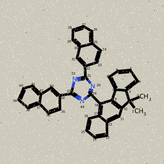 CC1(C)c2ccccc2-c2c1cc1ccccc1c2-c1nc(-c2ccc3ccccc3c2)nc(-c2ccc3ccccc3c2)n1